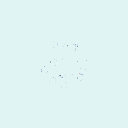 N=C(OC1OC(COC(=O)c2ccccc2)C(OC2OC(COC(=O)c3ccccc3)C(OC(=O)c3ccccc3)C(OC(=O)c3ccccc3)C2OC(=O)c2ccccc2)C(OC(=O)c2ccccc2)C1OC(=O)c1ccccc1)C(Cl)(Cl)Cl